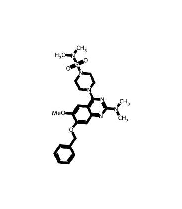 COc1cc2c(N3CCN(S(=O)(=O)N(C)C)CC3)nc(N(C)C)nc2cc1OCc1ccccc1